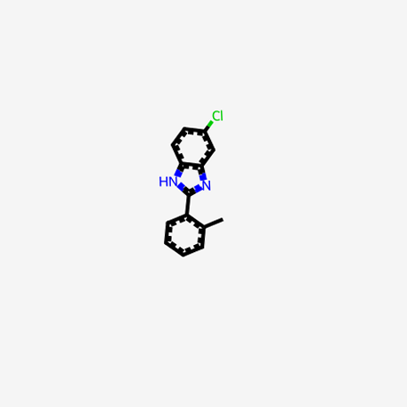 Cc1ccccc1-c1nc2cc(Cl)ccc2[nH]1